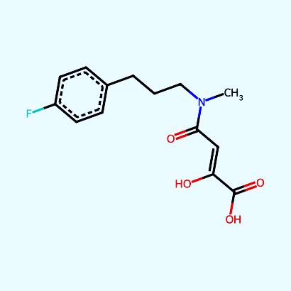 CN(CCCc1ccc(F)cc1)C(=O)C=C(O)C(=O)O